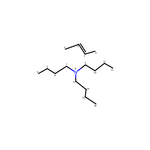 C/C=C/C.CCCCN(CCCC)CCCC